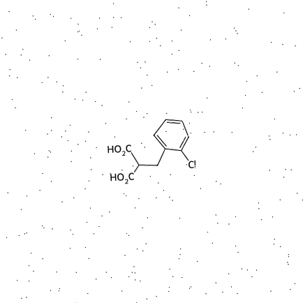 O=C(O)C(Cc1ccccc1Cl)C(=O)O